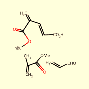 C=C(C)C(=O)OC.C=C(C=CC(=O)O)C(=O)OCCCC.C=CC=O